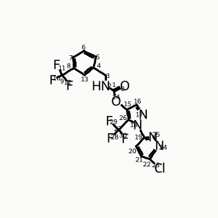 O=C(NCc1cccc(C(F)(F)F)c1)Oc1cnn(-c2ccc(Cl)nn2)c1C(F)(F)F